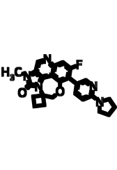 Cn1c(=O)n2c3c4c(c(-c5ccc(N6CCCC6)nc5)c(F)cc4ncc31)OCC21CCC1